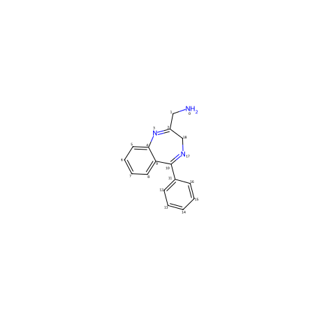 NCC1=Nc2ccccc2C(c2ccccc2)=NC1